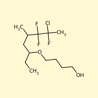 CCC(CC(C)C(F)(F)C(C)(F)Cl)OCCCCO